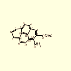 CCCCCCCCCCc1cc2ccc3cccc4ccc(c1N)c2c34